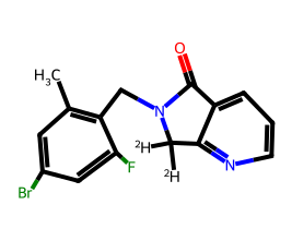 [2H]C1([2H])c2ncccc2C(=O)N1Cc1c(C)cc(Br)cc1F